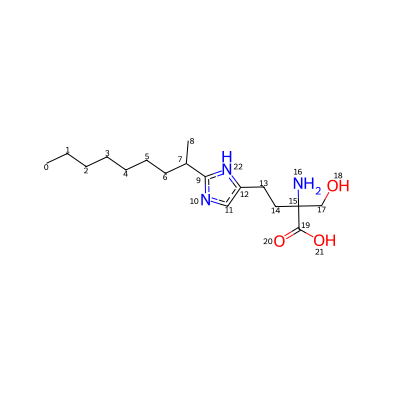 CCCCCCCC(C)c1ncc(CCC(N)(CO)C(=O)O)[nH]1